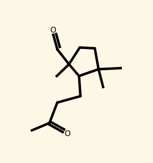 CC(=O)CCC1C(C)(C)CCC1(C)C=O